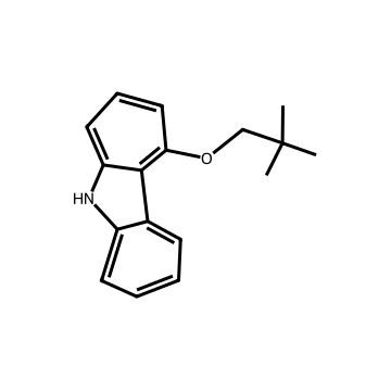 CC(C)(C)COc1cccc2[nH]c3ccccc3c12